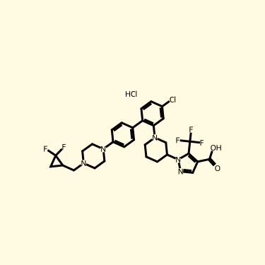 Cl.O=C(O)c1cnn(C2CCCN(c3cc(Cl)ccc3-c3ccc(N4CCN(CC5CC5(F)F)CC4)cc3)C2)c1C(F)(F)F